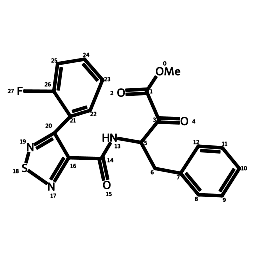 COC(=O)C(=O)C(Cc1ccccc1)NC(=O)c1nsnc1-c1ccccc1F